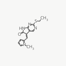 CCSc1ncc2c(n1)NC(=O)C2=Cc1cccn1C